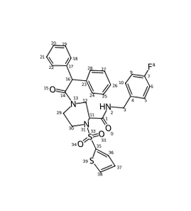 O=C(NCc1ccc(F)cc1)C1CN(C(=O)C(c2ccccc2)c2ccccc2)CCN1S(=O)(=O)c1cccs1